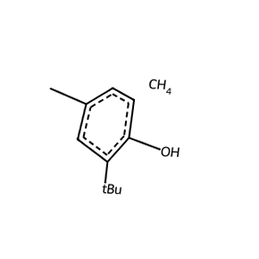 C.Cc1ccc(O)c(C(C)(C)C)c1